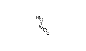 Clc1ccc(-c2nnc(N3CC4CNCC4C3)o2)cc1